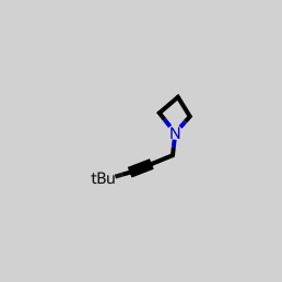 CC(C)(C)C#CCN1CCC1